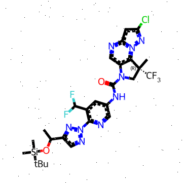 CC(O[Si](C)(C)C(C)(C)C)c1cnn(-c2ncc(NC(=O)N3C[C@@](C)(C(F)(F)F)c4c3cnc3cc(Cl)nn43)cc2C(F)F)n1